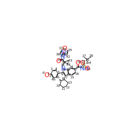 COc1ccc(-c2c(C3CCCCC3)c3ccc(C(=O)NS(=O)(=O)CC(C)C)cc3n2CC2(C(=O)N3C=c4oc(n4C)=C3)CC2)cc1